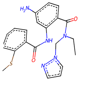 CCN(Cn1cccn1)C(=O)c1ccc(N)cc1NC(=O)c1ccccc1SC